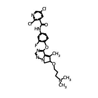 CC1=C2C(Oc3ccc(NC(=O)c4cc(Cl)cnc4Cl)cc3F)=NC=NN2CC1OCCCN(C)C